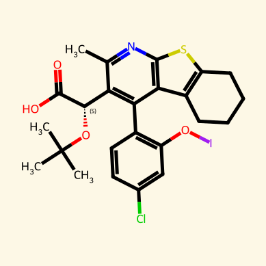 Cc1nc2sc3c(c2c(-c2ccc(Cl)cc2OI)c1[C@H](OC(C)(C)C)C(=O)O)CCCC3